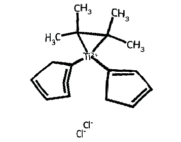 C[C]1(C)[C](C)(C)[Ti+2]1([C]1=CC=CC1)[C]1=CC=CC1.[Cl-].[Cl-]